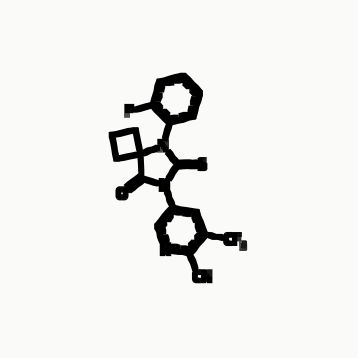 N#Cc1ncc(N2C(=O)C3(CCC3)N(c3ccccc3F)C2=S)cc1C(F)(F)F